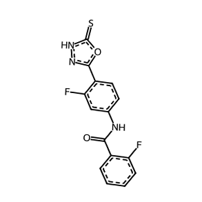 O=C(Nc1ccc(-c2n[nH]c(=S)o2)c(F)c1)c1ccccc1F